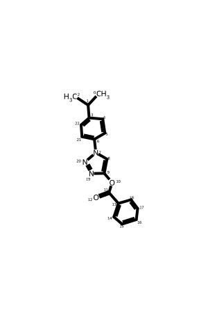 CC(C)c1ccc(-n2cc(OC(=O)c3ccccc3)nn2)cc1